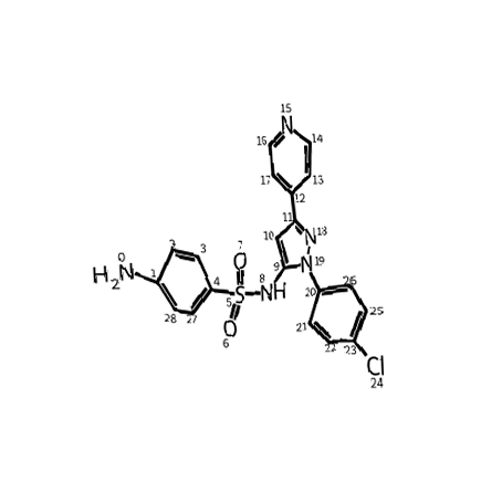 Nc1ccc(S(=O)(=O)Nc2cc(-c3ccncc3)nn2-c2ccc(Cl)cc2)cc1